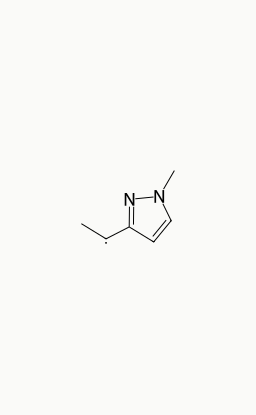 C[CH]c1ccn(C)n1